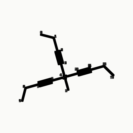 CCC#C[Si](C)(C#CCC)C#CCC